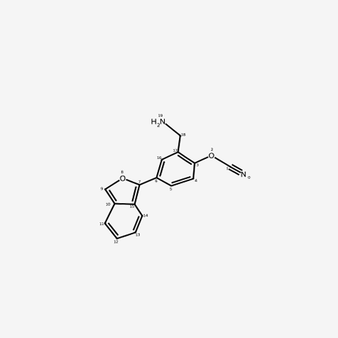 N#COc1ccc(-c2occ3ccccc23)cc1CN